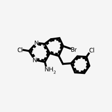 Nc1nc(Cl)nc2ccc(Br)c(Cc3cccc(Cl)c3)c12